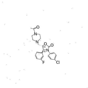 CC(=O)N1CCN(C[C@@H]2OC(=O)N(c3ccc(Cl)cc3)[C@H]2c2cccc(F)c2)CC1